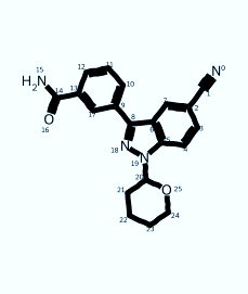 N#Cc1ccc2c(c1)c(-c1cccc(C(N)=O)c1)nn2C1CCCCO1